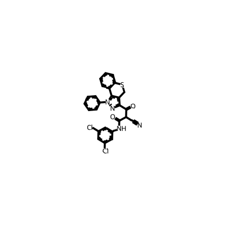 N#CC(C(=O)Nc1cc(Cl)cc(Cl)c1)C(=O)c1nn(-c2ccccc2)c2c1CSc1ccccc1-2